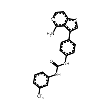 Nc1nccc2scc(-c3ccc(NC(=O)Nc4cccc(C(F)(F)F)c4)cc3)c12